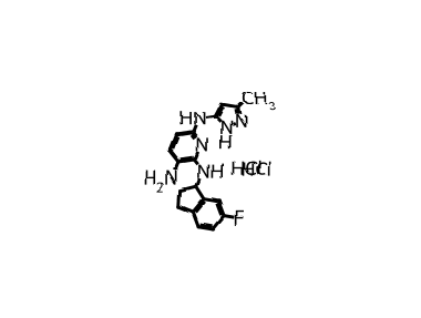 Cc1cc(Nc2ccc(N)c(NC3CCc4ccc(F)cc43)n2)[nH]n1.Cl.Cl